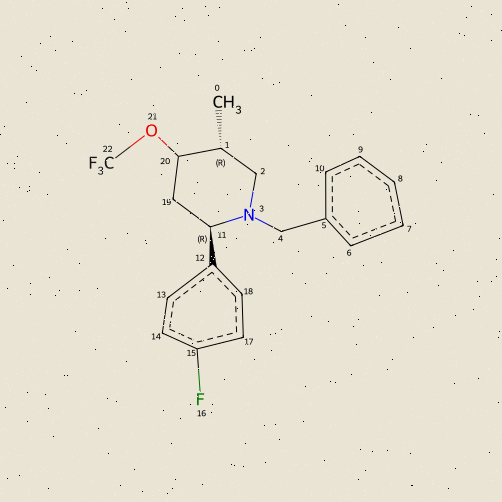 C[C@@H]1CN(Cc2ccccc2)[C@@H](c2ccc(F)cc2)CC1OC(F)(F)F